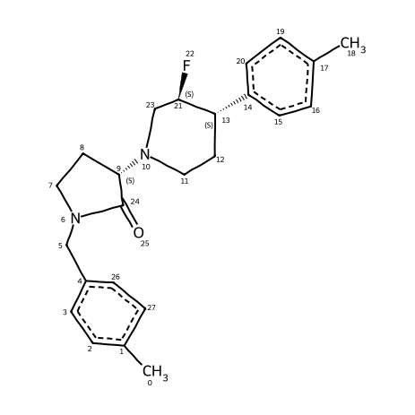 Cc1ccc(CN2CC[C@H](N3CC[C@@H](c4ccc(C)cc4)[C@H](F)C3)C2=O)cc1